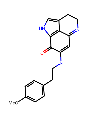 COc1ccc(CCNC2=CC3=NCCc4c[nH]c(c43)C2=O)cc1